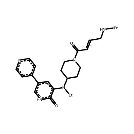 CCN(c1cc(-c2ccncc2)c[nH]c1=O)C1CCN(C(=O)/C=C/CNC(C)C)CC1